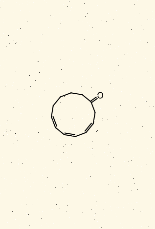 O=C1CC=CC=CC=CCCCC1